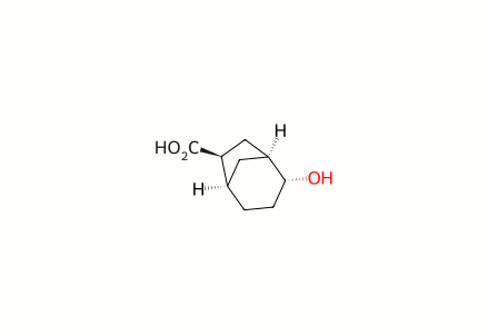 O=C(O)[C@H]1C[C@@H]2C[C@H]1CC[C@H]2O